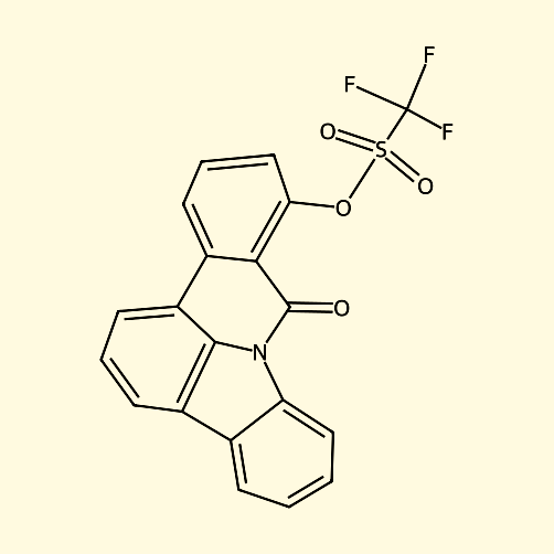 O=c1c2c(OS(=O)(=O)C(F)(F)F)cccc2c2cccc3c4ccccc4n1c23